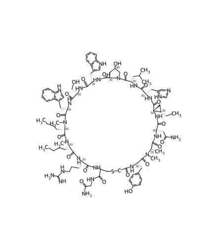 CCCC[C@H]1C(=O)N(C)[C@@H](CCCC)C(=O)N[C@@H](CCCNC(=N)N)C(=O)NC(C(=O)NCC(N)=O)CSCC(=O)N[C@@H](Cc2ccc(O)cc2)C(=O)N(C)[C@@H](C)C(=O)N[C@@H](CC(N)=O)C(=O)N[C@]2(C[C@@H]2CC)C(=O)N[C@@H](Cc2cnc[nH]2)C(=O)N[C@@H](CC(C)C)C(=O)N2C[C@H](O)C[C@H]2C(=O)N[C@@H](Cc2c[nH]c3ccccc23)C(=O)N[C@@H](CO)C(=O)N[C@@H](Cc2c[nH]c3ccccc23)C(=O)N1C